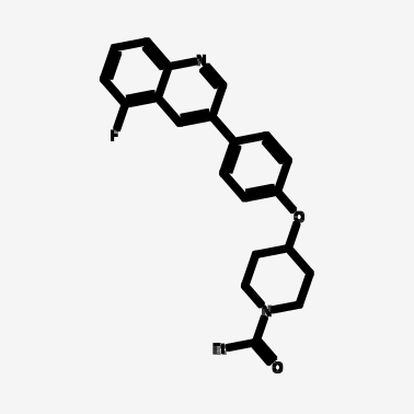 CCC(=O)N1CCC(Oc2ccc(-c3cnc4cccc(F)c4c3)cc2)CC1